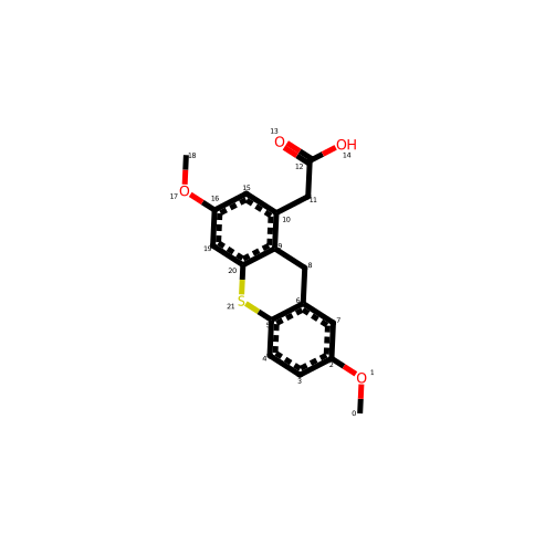 COc1ccc2c(c1)Cc1c(CC(=O)O)cc(OC)cc1S2